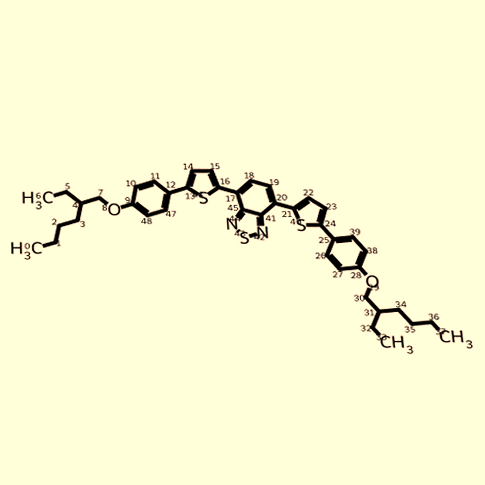 CCCCC(CC)COc1ccc(-c2ccc(-c3ccc(-c4ccc(-c5ccc(OCC(CC)CCCC)cc5)s4)c4nsnc34)s2)cc1